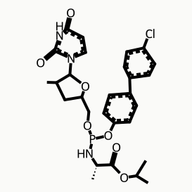 CC(C)OC(=O)[C@H](C)NP(OCC1CC(C)C(n2ccc(=O)[nH]c2=O)O1)Oc1ccc(-c2ccc(Cl)cc2)cc1